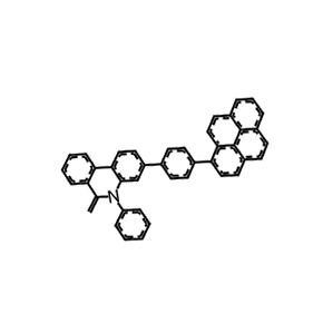 C=C1c2ccccc2-c2ccc(-c3ccc(-c4ccc5ccc6cccc7ccc4c5c67)cc3)cc2N1c1ccccc1